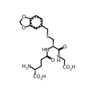 N[C@@H](CCC(=O)N[C@@H](CSCc1ccc2c(c1)OCO2)C(=O)NCC(=O)O)C(=O)O